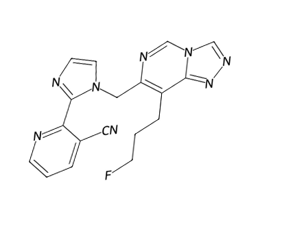 N#Cc1cccnc1-c1nccn1Cc1ncn2cnnc2c1CCCF